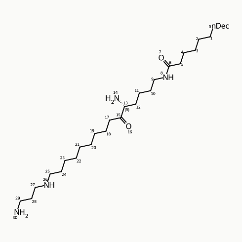 CCCCCCCCCCCCCCCC(=O)NCCCC[C@@H](N)C(=O)CCCCCCCCCNCCCN